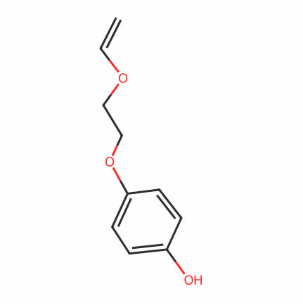 C=COCCOc1ccc(O)cc1